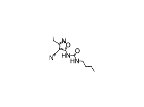 CCCCNC(=O)Nc1onc(CC)c1C#N